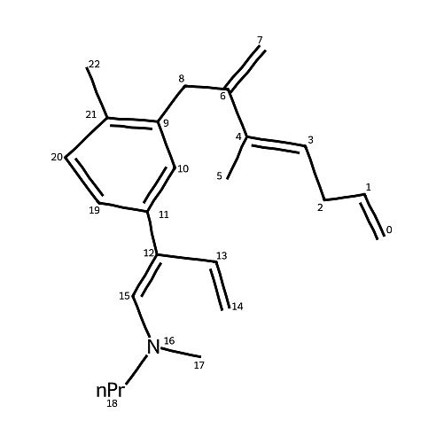 C=CC/C=C(\C)C(=C)Cc1cc(/C(C=C)=C/N(C)CCC)ccc1C